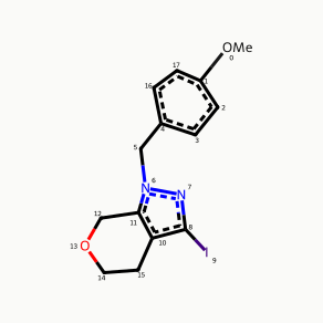 COc1ccc(Cn2nc(I)c3c2COCC3)cc1